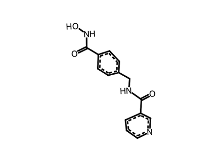 O=C(NO)c1ccc(CNC(=O)c2cccnc2)cc1